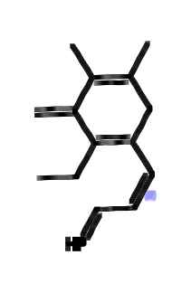 C=C1C(C)=C(C)CC(/C=C\C=P)=C1CC